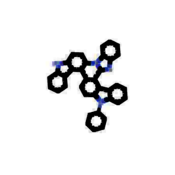 c1ccc(-n2c3ccccc3c3c4c(ccc32)c2c3c(ccc2n2c5ccccc5nc42)[nH]c2ccccc23)cc1